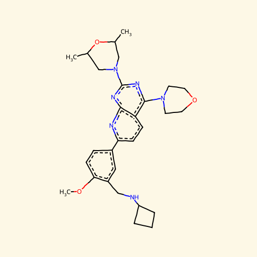 COc1ccc(-c2ccc3c(N4CCOCC4)nc(N4CC(C)OC(C)C4)nc3n2)cc1CNC1CCC1